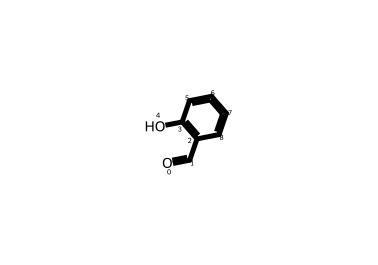 O=CC1=C(O)C=C=C=C1